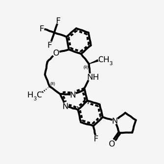 C[C@@H]1CCOc2c(cccc2C(F)(F)F)[C@@H](C)Nc2nc1nc1cc(F)c(N3CCCC3=O)cc21